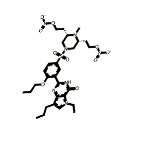 CCCOc1ccc(S(=O)(=O)N2C[C@@H](CCO[N+](=O)[O-])N(C)[C@@H](CCO[N+](=O)[O-])C2)cc1-c1nc2c(CCC)cn(CC)c2c(=O)[nH]1